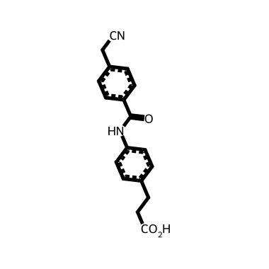 N#CCc1ccc(C(=O)Nc2ccc(CCC(=O)O)cc2)cc1